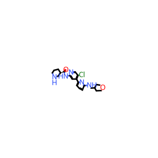 O=C(Nc1cc(-c2cccc(NCC3CCOCC3)n2)c(Cl)cn1)[C@@H]1CCCNC1